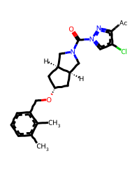 CC(=O)c1nn(C(=O)N2C[C@H]3C[C@H](OCc4cccc(C)c4C)C[C@H]3C2)cc1Cl